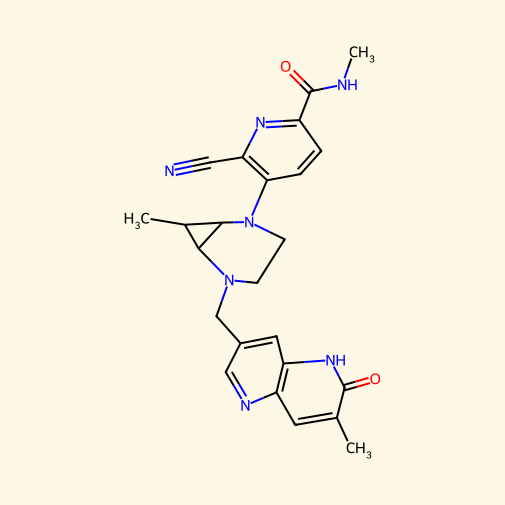 CNC(=O)c1ccc(N2CCN(Cc3cnc4cc(C)c(=O)[nH]c4c3)C3C(C)C32)c(C#N)n1